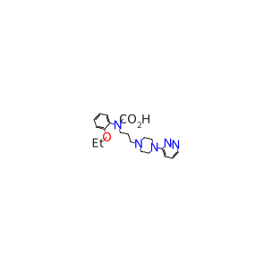 CCOc1ccccc1N(CCCN1CCN(c2cccnn2)CC1)C(=O)O